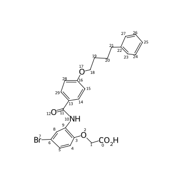 O=C(O)COc1ccc(Br)cc1NC(=O)c1ccc(OCCCCc2ccccc2)cc1